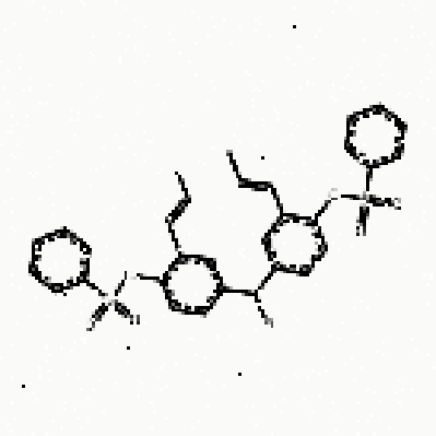 CC=Cc1cc(C(CC)c2ccc(OS(=O)(=O)c3ccccc3)c(C=CC)c2)ccc1OS(=O)(=O)c1ccccc1